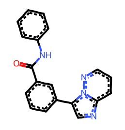 O=C(Nc1ccccc1)c1cccc(-c2cnc3cccnn23)c1